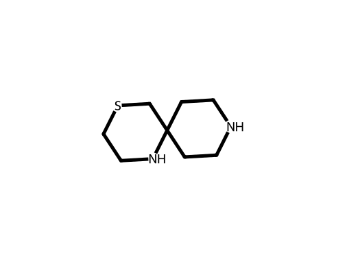 C1CC2(CCN1)CSCCN2